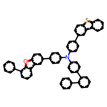 c1ccc(-c2ccccc2-c2ccc(N(c3ccc(-c4ccc5oc6c(-c7ccccc7)cccc6c5c4)cc3)c3ccc(-c4ccc5sc6ccccc6c5c4)cc3)cc2)cc1